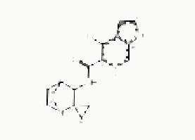 O=C(NC1C2CCN(CC2)C12CC2)c1ncc2occc2c1F